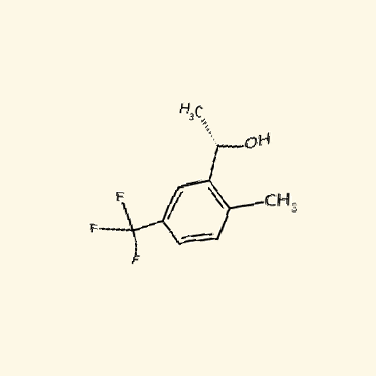 Cc1ccc(C(F)(F)F)cc1[C@H](C)O